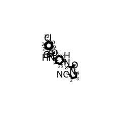 N#C[C@@H]1CCCN1C(=O)CNC1CCC(NS(=O)(=O)c2ccc(Cl)cc2)CC1